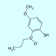 CCC[S+]([O-])c1cc(OC)ccc1S